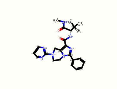 CNC(=O)[C@@H](NC(=O)c1nc(-c2ccccc2)n2c1CN(c1ncccn1)CC2)C(C)(C)C